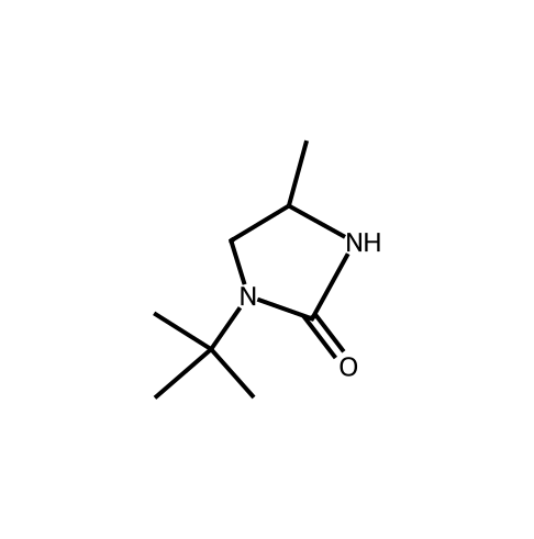 CC1CN(C(C)(C)C)C(=O)N1